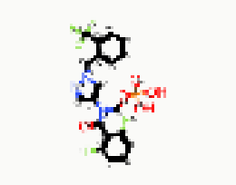 O=C(c1c(F)cccc1F)N(COP(=O)(O)O)c1cnn(Cc2ccccc2C(F)(F)F)c1